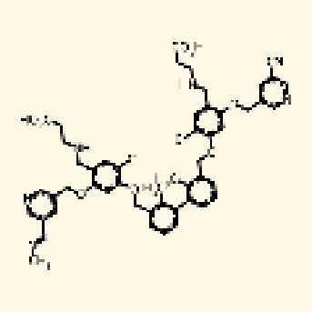 C/N=C/c1cncc(COc2cc(OCc3cccc(-c4cccc(COc5cc(OCc6cncc(C#N)c6)c(CNCCC(=O)O)cc5Cl)c4C)c3C)c(Cl)cc2CNCCC(=O)O)c1